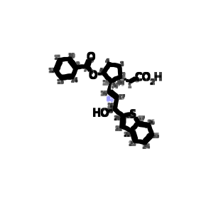 O=C(O)C[C@H]1CC[C@@H](OC(=O)c2ccccc2)[C@@H]1/C=C/[C@@H](O)c1cc2ccccc2s1